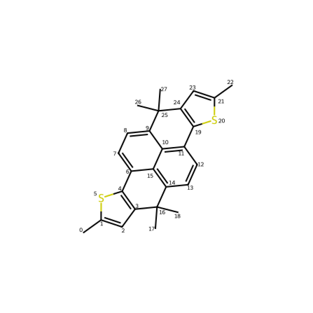 Cc1cc2c(s1)-c1ccc3c4c(ccc(c14)C2(C)C)-c1sc(C)cc1C3(C)C